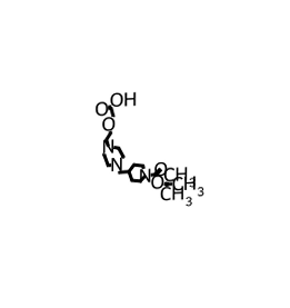 CC(C)(C)OC(=O)N1CCC(CN2CCN(CCOCC(=O)O)CC2)CC1